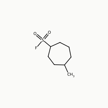 CC1CCCC(S(=O)(=O)F)CC1